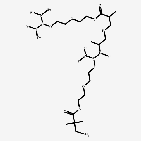 CC(CNCC(C)N(C(C)C)P(OCCOCCSC(=O)C(C)(C)CN)N(C(C)C)C(C)C)C(=O)SCCOCCOP(N(C(C)C)C(C)C)N(C(C)C)C(C)C